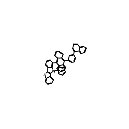 c1ccc(-n2c3c(-c4c5ccccc5c(-c5cccc(-c6cccc7ccccc67)c5)c5ccccc45)cccc3c3sc4ccccc4c32)cc1